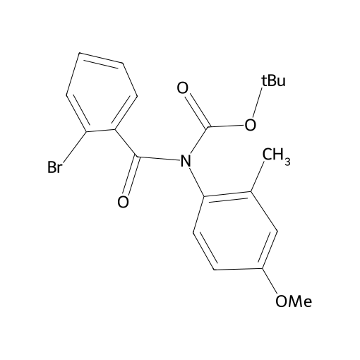 COc1ccc(N(C(=O)OC(C)(C)C)C(=O)c2ccccc2Br)c(C)c1